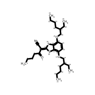 CCCCC(=O)C(C#N)=C1Sc2c(OCC(CC)CCCC)ccc(OCC(CC)CCCC)c2S1